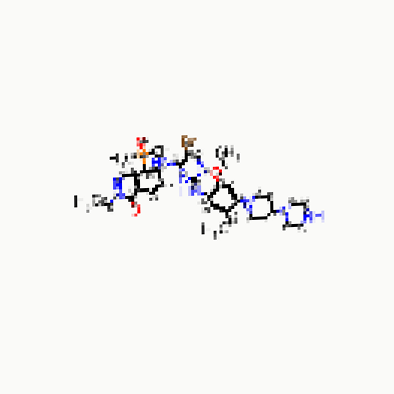 CCOc1cc(N2CCC(N3CCNCC3)CC2)c(CC)cc1Nc1ncc(Br)c(Nc2ccc3c(=O)n(CC)ncc3c2P(C)(C)=O)n1